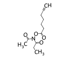 C#CCCCCC(=O)ON(C(C)=O)C(=O)CC